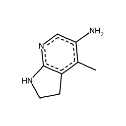 Cc1c(N)cnc2c1CCN2